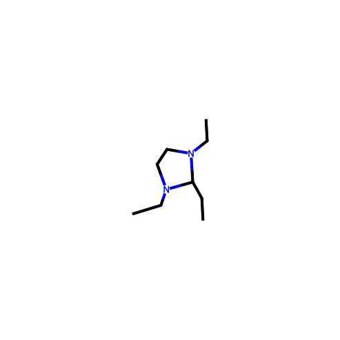 CCC1N(CC)CCN1CC